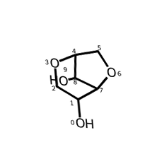 OC1COC2COC1C2O